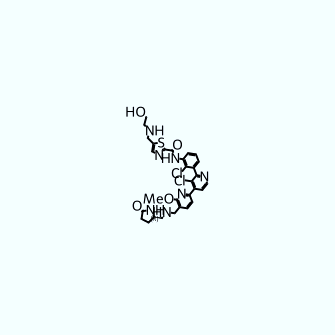 COc1nc(-c2ccnc(-c3cccc(NC(=O)c4ncc(CNCCO)s4)c3Cl)c2Cl)ccc1CNC[C@H]1CCC(=O)N1